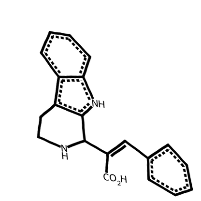 O=C(O)C(=Cc1ccccc1)C1NCCc2c1[nH]c1ccccc21